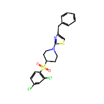 O=S(=O)(c1ccc(Cl)cc1Cl)C1CCN(c2nc(Cc3ccccc3)cs2)CC1